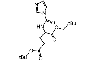 CC(C)(C)COC(=O)C(CCC(=O)OC(C)(C)C)NC(=O)n1ccnc1